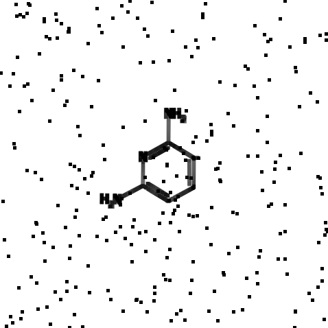 Nc1[c]ccc(N)n1